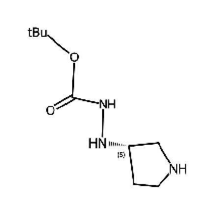 CC(C)(C)OC(=O)NN[C@H]1CCNC1